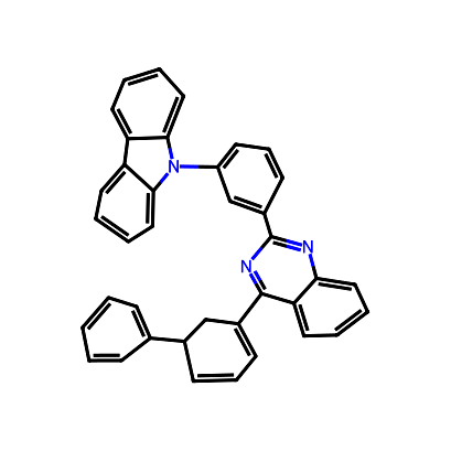 C1=CC(c2ccccc2)CC(c2nc(-c3cccc(-n4c5ccccc5c5ccccc54)c3)nc3ccccc23)=C1